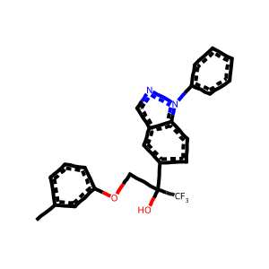 Cc1cccc(OCC(O)(c2ccc3c(cnn3-c3ccccc3)c2)C(F)(F)F)c1